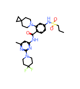 CCCS(=O)(=O)Nc1ccc(C(=O)Nc2cc(C)nc(N3CCC(F)(F)CC3)n2)c(N2CCC3(CC2)CC3)c1